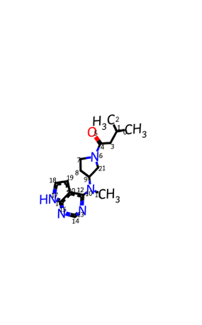 CC(C)CC(=O)N1CCC(N(C)c2ncnc3[nH]ccc23)C1